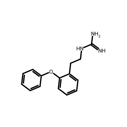 N=C(N)NCCc1ccccc1Oc1ccccc1